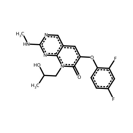 CNc1ncc2cc(Oc3ccc(F)cc3F)c(=O)n(CC(C)O)c2n1